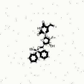 CC(C)(C)[Si](OC[C@H]1O[C@@H](n2cc(CF)c(=O)[nH]c2=O)[C@H](F)[C@@H]1O)(c1ccccc1)c1ccccc1